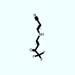 N#C/C=C/N/C=C/C(=O)C(F)(F)F